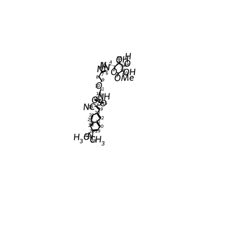 CO[C@H]1O[C@H](Cn2cc(CCOCCNS(=O)(=O)/C(C#N)=C/c3ccc4cc(N(C)C)ccc4c3)nn2)[C@@H](O)[C@H](O)[C@H]1O